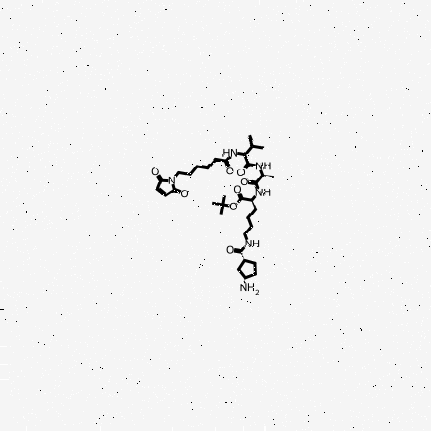 CC(C)C(NC(=O)CCCCCN1C(=O)C=CC1=O)C(=O)N[C@@H](C)C(=O)N[C@@H](CCCCNC(=O)[C@@H]1CC[C@H](N)C1)C(=O)OC(C)(C)C